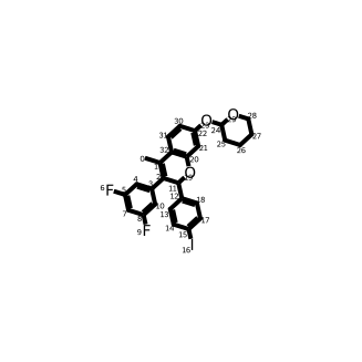 CC1=C(c2cc(F)cc(F)c2)C(c2ccc(I)cc2)Oc2cc(OC3CCCCO3)ccc21